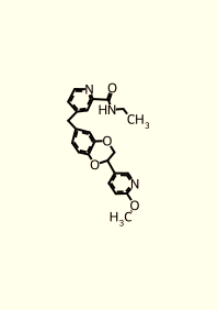 CCNC(=O)c1cc(Cc2ccc3c(c2)OCC(c2ccc(OC)nc2)O3)ccn1